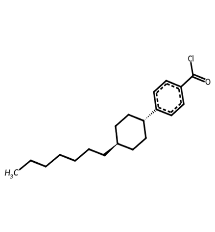 CCCCCCC[C@H]1CC[C@H](c2ccc(C(=O)Cl)cc2)CC1